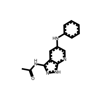 CC(=O)Nc1n[nH]c2ncc(Nc3ccccc3)cc12